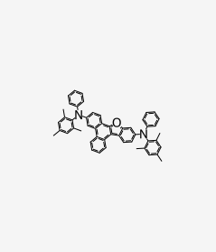 Cc1cc(C)c(N(c2ccccc2)c2ccc3c(c2)oc2c4ccc(N(c5ccccc5)c5c(C)cc(C)cc5C)cc4c4ccccc4c32)c(C)c1